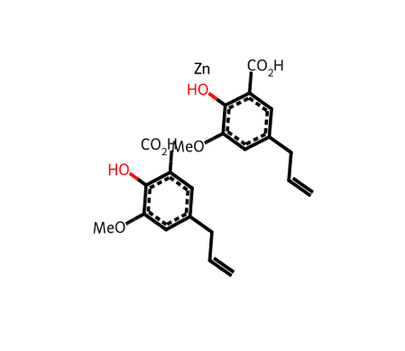 C=CCc1cc(OC)c(O)c(C(=O)O)c1.C=CCc1cc(OC)c(O)c(C(=O)O)c1.[Zn]